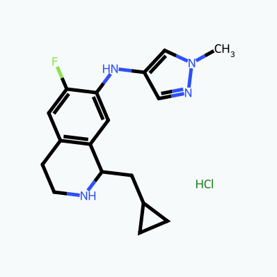 Cl.Cn1cc(Nc2cc3c(cc2F)CCNC3CC2CC2)cn1